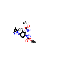 CCOC(=O)C1(NC2CC[C@H](NC(=O)OC(C)(C)C)[C@H](NC(=O)OC(C)(C)C)C2)CC1